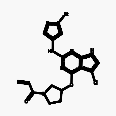 C=CC(=O)N1CCC(Oc2nc(Nc3cnn(CC)c3)nc3[nH]cc(Cl)c23)C1